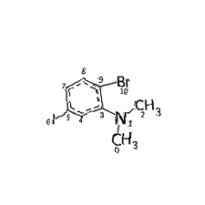 CN(C)c1cc(I)ccc1Br